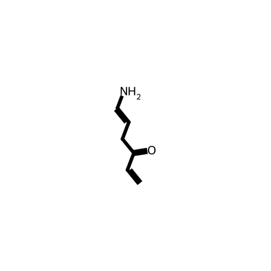 C=CC(=O)CC=CN